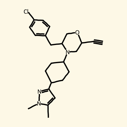 C#CC1CN(C2CCC(c3cc(C)n(C)n3)CC2)C(Cc2ccc(Cl)cc2)CO1